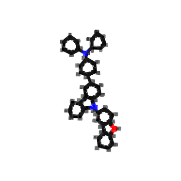 c1ccc(N(c2ccccc2)c2ccc(-c3ccc4c(c3)c3ccccc3n4-c3ccc4oc5ccccc5c4c3)cc2)cc1